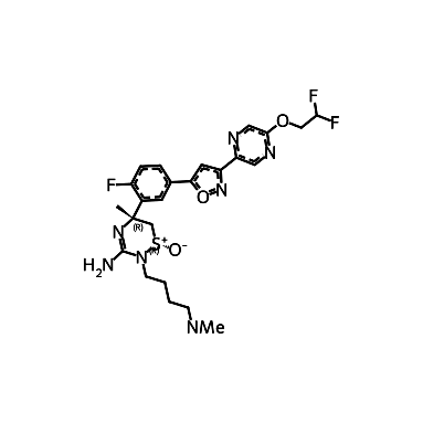 CNCCCCN1C(N)=N[C@](C)(c2cc(-c3cc(-c4cnc(OCC(F)F)cn4)no3)ccc2F)C[S@+]1[O-]